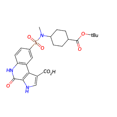 CN(C1CCC(C(=O)OC(C)(C)C)CC1)S(=O)(=O)c1ccc2[nH]c(=O)c3[nH]cc(C(=O)O)c3c2c1